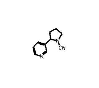 N#CN1CCCC1c1cccnc1